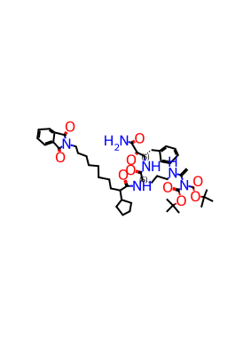 C=C(NCCC[C@H](NC(=O)C(CCCCCCCCN1C(=O)c2ccccc2C1=O)C1CCCC1)C(=O)N[C@@H](Cc1ccccc1)C(=O)C(N)=O)N(C(=O)OC(C)(C)C)C(=O)OC(C)(C)C